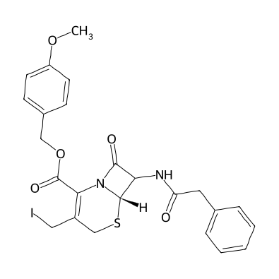 COc1ccc(COC(=O)C2=C(CI)CS[C@H]3C(NC(=O)Cc4ccccc4)C(=O)N23)cc1